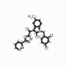 Cc1ccc2c(c1)c(C(=O)c1nnc(-c3cccnn3)o1)c(C)n2Cc1ccc(Cl)cc1Cl